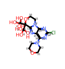 OC(O)(O)C1(C(O)(O)O)OCCn2c1nc1c(N3CCOCC3)nc(Cl)nc12